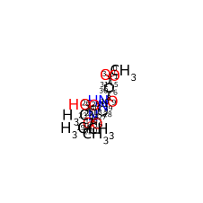 COC(=O)c1ccc(C(=O)NN2C=C(N(C(=O)OC(C)(C)C)[C@@H](C)C(=O)O)C=CC2)cc1